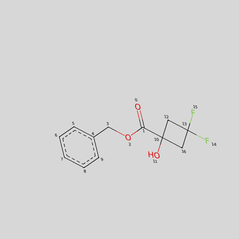 O=C(OCc1ccccc1)C1(O)CC(F)(F)C1